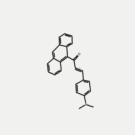 CN(C)c1ccc(/C=C/C(=O)c2c3ccccc3cc3ccccc23)cc1